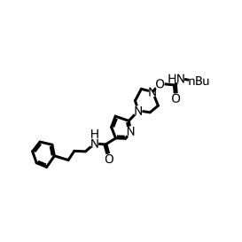 CCCCNC(=O)ON1CCN(c2ccc(C(=O)NCCCc3ccccc3)cn2)CC1